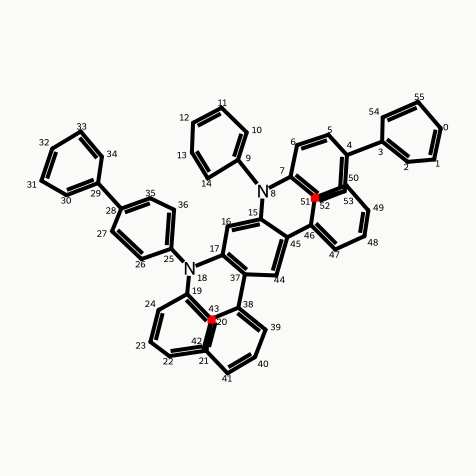 c1ccc(-c2ccc(N(c3ccccc3)c3cc(N(c4ccccc4)c4ccc(-c5ccccc5)cc4)c(-c4ccccc4)cc3-c3ccccc3)cc2)cc1